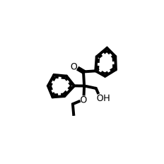 CCOC(CO)(C(=O)c1ccccc1)c1ccccc1